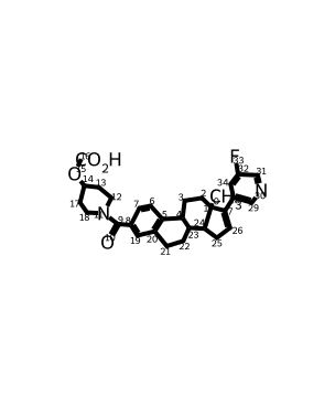 C[C@]12CCC3c4ccc(C(=O)N5CCC(OC(=O)O)CC5)cc4CCC3C1CC=C2c1cncc(F)c1